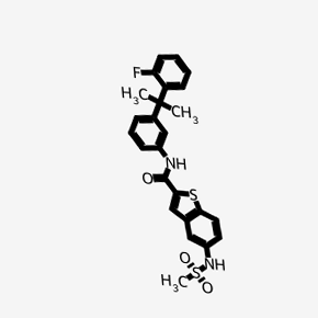 CC(C)(c1cccc(NC(=O)c2cc3cc(NS(C)(=O)=O)ccc3s2)c1)c1ccccc1F